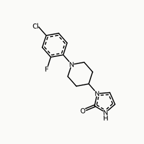 O=c1[nH]ccn1C1CCN(c2ccc(Cl)cc2F)CC1